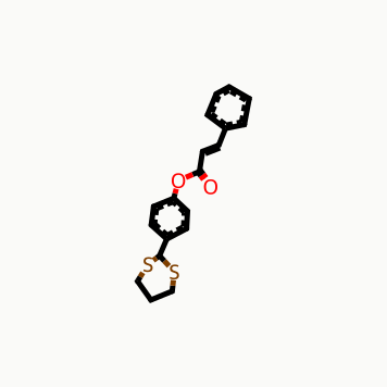 O=C(C=Cc1ccccc1)Oc1ccc(C2SCCCS2)cc1